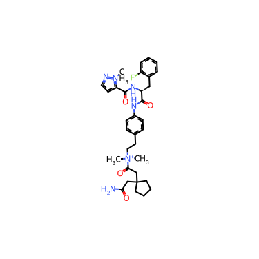 Cn1nccc1C(=O)N[C@@H](Cc1ccccc1F)C(=O)Nc1ccc(CC[N+](C)(C)C(=O)CC2(CC(N)=O)CCCC2)cc1